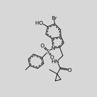 Cc1ccc(S(=O)(=O)n2c(CNC(=O)C3(C)CC3)cc3cc(Br)c(O)cc32)cc1